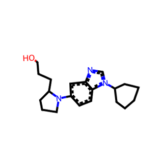 OCCCC1CCCN1c1ccc2c(c1)ncn2C1CCCCC1